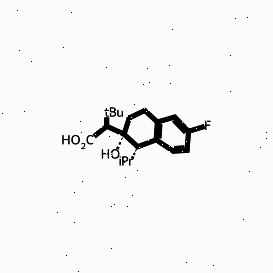 CC(C)[C@H]1c2ccc(F)cc2CC[C@]1(O)C(C(=O)O)C(C)(C)C